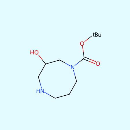 CC(C)(C)OC(=O)N1CCCNCC(O)C1